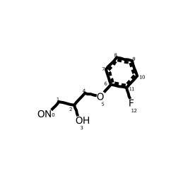 O=NCC(O)COc1ccccc1F